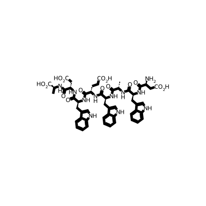 C[C@H](NC(=O)[C@H](CC(=O)O)NC(=O)[C@H](Cc1c[nH]c2ccccc12)NC(=O)[C@H](CCC(=O)O)NC(=O)[C@H](Cc1c[nH]c2ccccc12)NC(=O)[C@H](C)NC(=O)[C@H](Cc1c[nH]c2ccccc12)NC(=O)[C@@H](N)CC(=O)O)C(=O)O